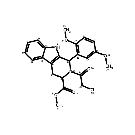 COC(=O)C1Cc2c([nH]c3ccccc23)C(c2cc(OC)ccc2OC)N1C(=O)CCl